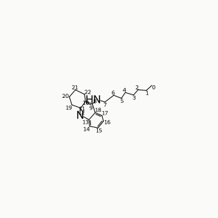 CCCCCCCCNc1c2c(nc3ccccc13)CCCC2